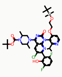 CC(C)c1nccc(OCCO[Si](C)(C)C(C)(C)C)c1-n1c(=O)nc(N2CC(C)N(C(=O)OC(C)(C)C)CC2C)c2cc(Cl)c(-c3c(F)ccc(F)c3O)nc21